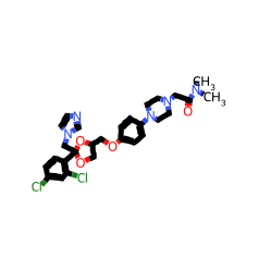 CN(C)C(=O)CN1CCN(c2ccc(OCC3COC(Cn4ccnc4)(c4ccc(Cl)cc4Cl)O3)cc2)CC1